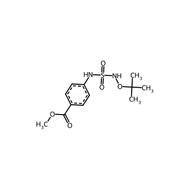 COC(=O)c1ccc(NS(=O)(=O)NOC(C)(C)C)cc1